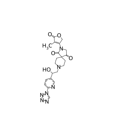 CC1=C(N2CC(=O)C3(CCN(CC(O)c4ccc(-n5cnnn5)nc4)CC3)C2=O)COC1=O